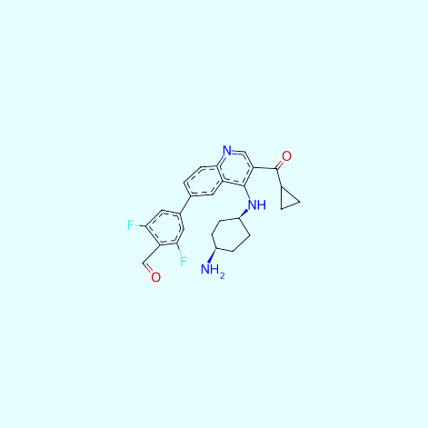 N[C@H]1CC[C@@H](Nc2c(C(=O)C3CC3)cnc3ccc(-c4cc(F)c(C=O)c(F)c4)cc23)CC1